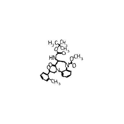 COC(=O)N1CC(NC(=O)OC(C)(C)C)C(=O)N(CC(=O)c2ccccc2C)c2ccccc21